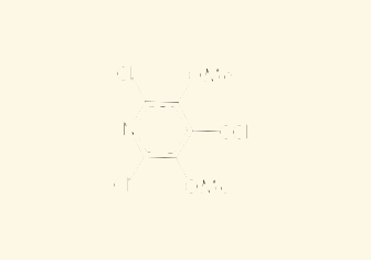 COc1c(Cl)nc(Cl)c(OC)c1C(Cl)(Cl)Cl